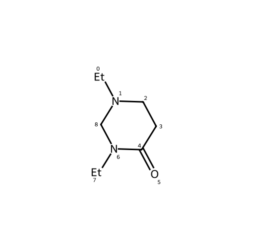 CCN1CCC(=O)N(CC)C1